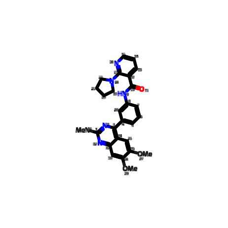 CNc1nc(-c2cccc(NC(=O)c3cccnc3N3CCCC3)c2)c2cc(OC)c(OC)cc2n1